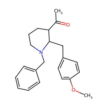 COc1ccc(CC2C(C(C)=O)CCCN2Cc2ccccc2)cc1